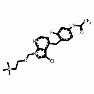 C[Si](C)(C)CCOCn1cc(Cl)c2c(Cc3ccc(NC(=O)C(F)(F)F)cc3F)ccnc21